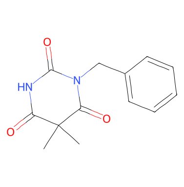 CC1(C)C(=O)NC(=O)N(Cc2ccccc2)C1=O